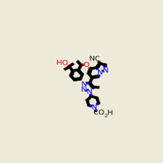 Cc1c(-c2cc(OC(C)c3ccccc3C(C)(C)O)c3c(C#N)cnn3c2)nnn1C1CCN(C(=O)O)CC1